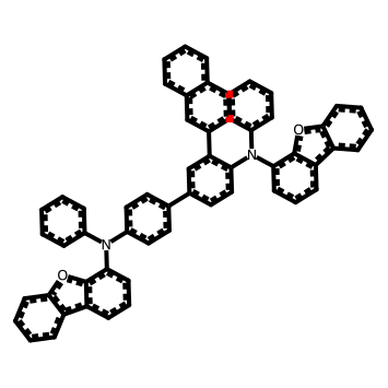 c1ccc(N(c2ccc(-c3ccc(N(c4ccccc4)c4cccc5c4oc4ccccc45)c(-c4ccc5ccccc5c4)c3)cc2)c2cccc3c2oc2ccccc23)cc1